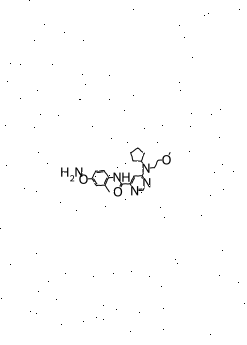 COCCN(c1cc(C(=O)Nc2ccc(ON)cc2C)ncn1)C1CCCC1